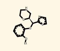 CCOc1ccccc1OC(c1nccs1)[C@@H]1CNCCO1